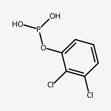 OP(O)Oc1cccc(Cl)c1Cl